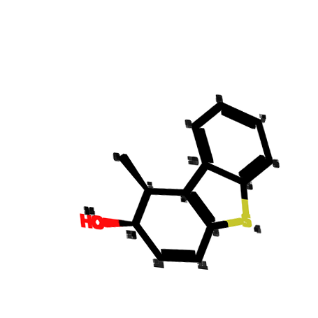 C[C@H]1c2c(sc3ccccc23)C=C[C@H]1O